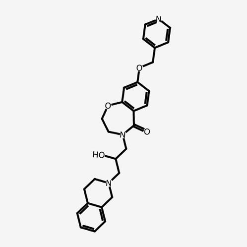 O=C1c2ccc(OCc3ccncc3)cc2OCCN1CC(O)CN1CCc2ccccc2C1